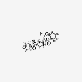 O=C(Nc1ccc(S(=O)(=O)N2CCOCC2)s1)c1ccccc1C(F)(F)F